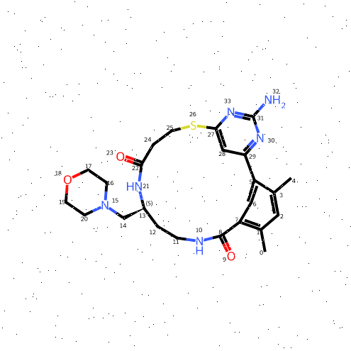 Cc1cc(C)c2cc1C(=O)NCC[C@@H](CN1CCOCC1)NC(=O)CCSc1cc-2nc(N)n1